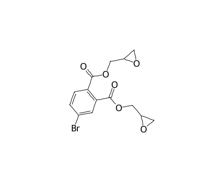 O=C(OCC1CO1)c1ccc(Br)cc1C(=O)OCC1CO1